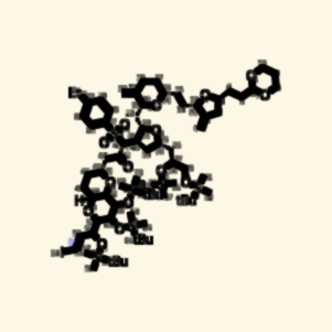 C=C1C[C@H](CCC2OCCCO2)O[C@H]1CC[C@H]1CCC(=C)[C@@H](C[C@@H]2O[C@H](C[C@@H](CO[Si](C)(C)C(C)(C)C)O[Si](C)(C)C(C)(C)C)C[C@H]2[C@H](C(=O)C[C@H]2CC[C@@H]3OC(C(/C=C/I)O[Si](C)(C)C(C)(C)C)C(O[Si](C)(C)C(C)(C)C)C(O[Si](C)(C)C(C)(C)C)C3O2)S(=O)(=O)c2ccc(CC)cc2)O1